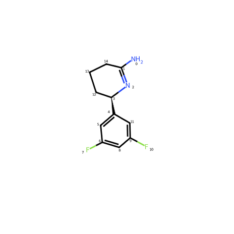 NC1=N[C@@H](c2cc(F)cc(F)c2)CCC1